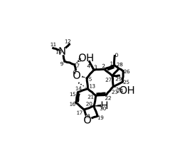 CC1=C2C(C)[C@@H](O[C@@H](O)CN(C)C)[C@]3(C)C=CC4OC[C@H]4/C3=C/[C@](O)(CC1)C2(C)C